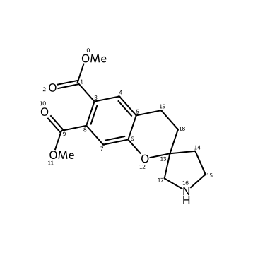 COC(=O)c1cc2c(cc1C(=O)OC)OC1(CCNC1)CC2